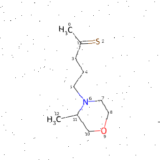 CC(=S)CCCN1CCOCC1C